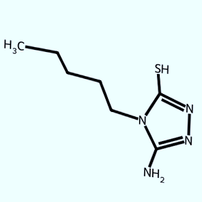 CCCCCn1c(N)nnc1S